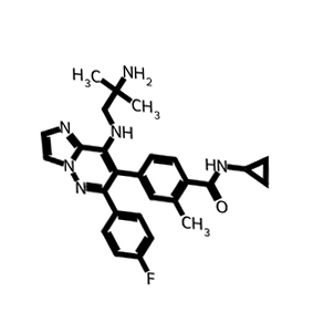 Cc1cc(-c2c(-c3ccc(F)cc3)nn3ccnc3c2NCC(C)(C)N)ccc1C(=O)NC1CC1